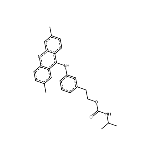 Cc1ccc2c(Nc3cccc(CCOC(=O)NC(C)C)c3)c3cc(C)ccc3nc2c1